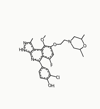 COc1c(OCCN2CC(C)OC(C)C2)cc(F)c2c(-c3ccc(O)c(Cl)c3)nc3[nH]nc(C)c3c12